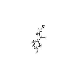 CC(N=C=S)c1ncn(C)n1